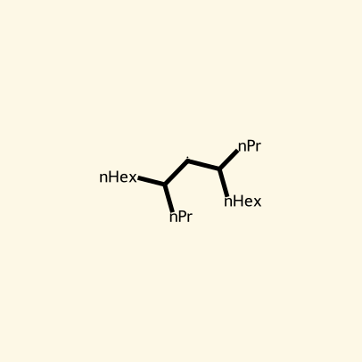 CCCCCCC([CH]C(CCC)CCCCCC)CCC